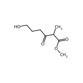 COC(=O)C(C)C(=O)CCCO